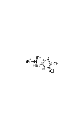 CC(C)N(Bc1ccc(Cl)c(Cl)c1)C(C)C